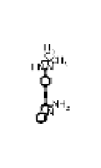 CC1(C)CNC(c2ccc(C#Cc3cc4ccccc4nc3N)cc2)=N1